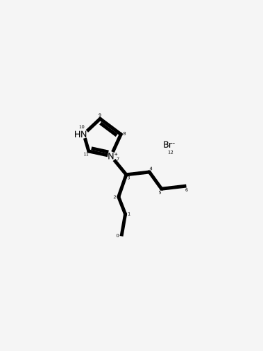 CCCC(CCC)[n+]1cc[nH]c1.[Br-]